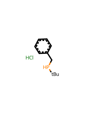 CC(C)(C)PCc1ccccc1.Cl